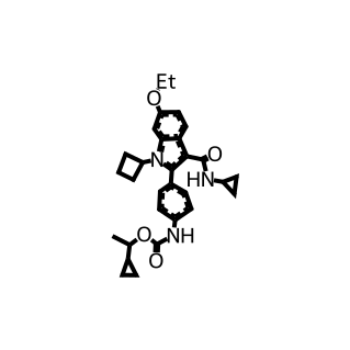 CCOc1ccc2c(C(=O)NC3CC3)c(-c3ccc(NC(=O)OC(C)C4CC4)cc3)n(C3CCC3)c2c1